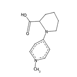 C[n+]1ccc(N2CCCCC2C(=O)O)cc1